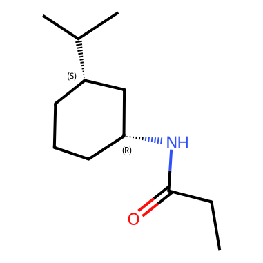 CCC(=O)N[C@@H]1CCC[C@H](C(C)C)C1